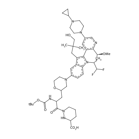 CO[C@@H](C)c1ncc(N2CCN(C3CC3)CC2)cc1-c1c(CC(C)(C)CO)c2cc(N3CCOC(CC(NC(=O)OC(C)(C)C)C(=O)N4CCCC(C(=O)O)N4)C3)ccc2n1C(F)C(F)F